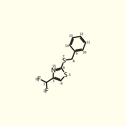 FC(F)c1csc(SCc2ccccc2)n1